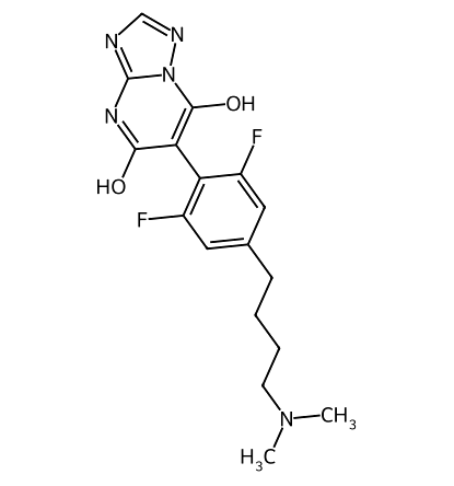 CN(C)CCCCc1cc(F)c(-c2c(O)nc3ncnn3c2O)c(F)c1